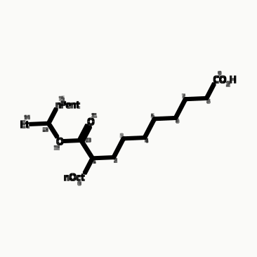 CCCCCCCCC(CCCCCCCC(=O)O)C(=O)OC(CC)CCCCC